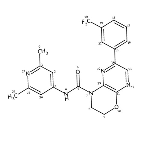 Cc1cc(NC(=O)N2CCOc3ncc(-c4cccc(C(F)(F)F)c4)nc32)cc(C)n1